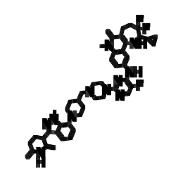 C=C1CCC(c2nn(C)c3c(N4CCC(CN5CCN(c6ncc(F)c(Nc7ccc8c(c7)C7=C(CCC(F)(F)C(C9CC9)N7)C(=C)N8C)n6)CC5)CC4)cccc23)C(=C)N1